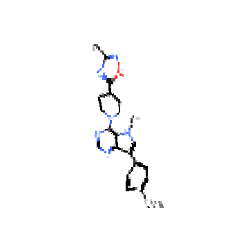 CSc1ccc(-c2cn(C)c3c(N4CCC(c5nc(C(C)C)no5)CC4)ncnc23)cc1